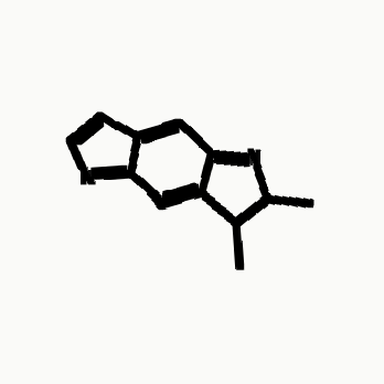 CC1N=c2cc3c(cc2C1C)=NC=C3